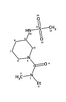 CCN(C)C(=O)N1CCCC(NS(C)(=O)=O)C1